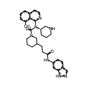 Cc1cccc2ccnc(N(C(=O)N3CCCC(CCC(=O)Nc4ccc5cn[nH]c5c4)C3)[C@@H]3CCCNC3)c12